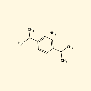 CC(C)c1ccc(C(C)C)cc1.N